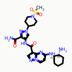 CS(=O)(=O)N1CCC(n2cc(NC(=O)c3cnn4ccc(N[C@H]5CCCC[C@H]5N)nc34)c(C(N)=O)n2)CC1